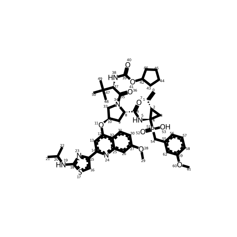 C=C[C@@H]1C[C@]1(NC(=O)[C@@H]1C[C@@H](Oc2cc(-c3csc(NC(C)C)n3)nc3cc(OC)ccc23)CN1C(=O)[C@@H](NC(=O)OC1CCCC1)C(C)(C)C)P(=O)(O)Cc1cccc(OC)c1